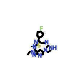 CCn1nc2ncc(N3CCNCC3)cc2c1N(C)c1nc(-c2ccc(F)cc2)c(C#N)s1